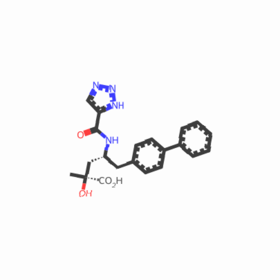 C[C@](O)(C[C@@H](Cc1ccc(-c2ccccc2)cc1)NC(=O)c1cnn[nH]1)C(=O)O